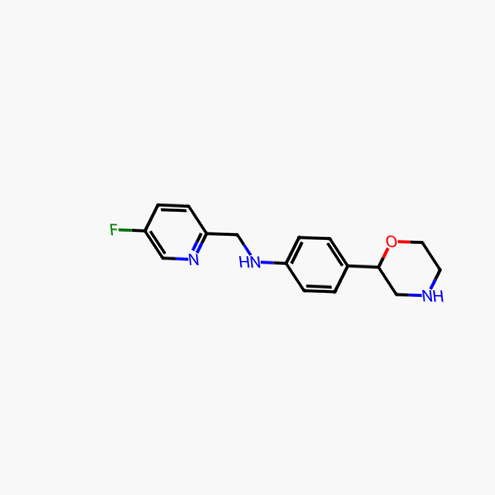 Fc1ccc(CNc2ccc(C3CNCCO3)cc2)nc1